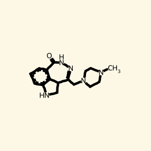 CN1CCN(CC2=NNC(=O)c3cccc4c3C2CN4)CC1